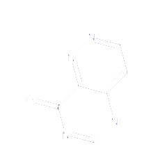 Cc1cc2[nH]cnc(=O)c2nn1